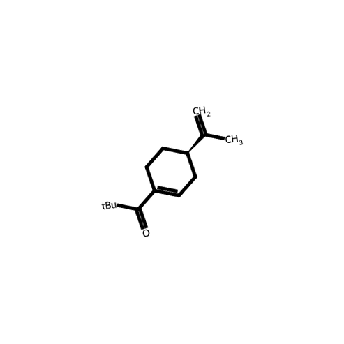 C=C(C)[C@H]1CC=C(C(=O)C(C)(C)C)CC1